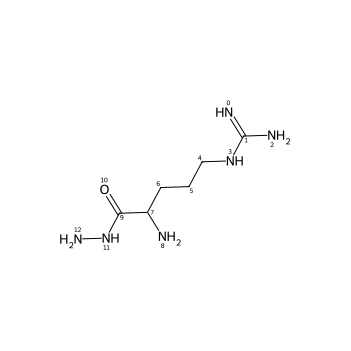 N=C(N)NCCCC(N)C(=O)NN